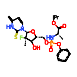 C=C1C=CN([C@@H]2O[C@H](COP(=O)(N[C@@H](C)C(=O)OC(C)C)Oc3ccccc3)C(O)[C@@]2(C)F)C(=S)N1